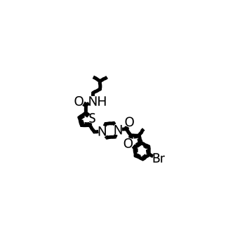 Cc1c(C(=O)N2CCN(Cc3ccc(C(=O)NCCC(C)C)s3)CC2)oc2ccc(Br)cc12